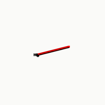 CCCCCCCCCCCCCCCCCCCCCCCCCCCCCCCCCCCCCCCCCCCCCCCCCCCCCC(=O)O